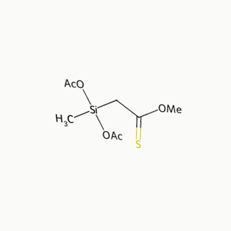 COC(=S)C[Si](C)(OC(C)=O)OC(C)=O